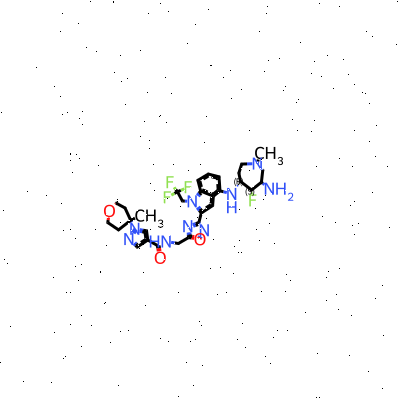 CN1CC[C@@H](Nc2cccc3c2cc(-c2noc(CNC(=O)c4cnn(C5(C)CCOCC5)c4)n2)n3CC(F)(F)F)[C@@H](F)C(N)C1